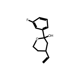 C=CC1CCOC(O)(c2cccc(F)c2)C1